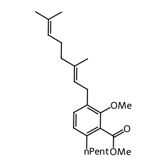 CCCCCc1ccc(C/C=C(\C)CCC=C(C)C)c(OC)c1C(=O)OC